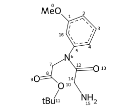 COc1cccc(N(CC(=O)OC(C)(C)C)C(=O)CN)c1